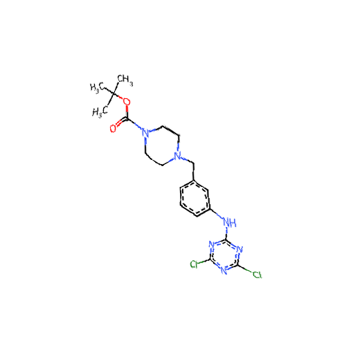 CC(C)(C)OC(=O)N1CCN(Cc2cccc(Nc3nc(Cl)nc(Cl)n3)c2)CC1